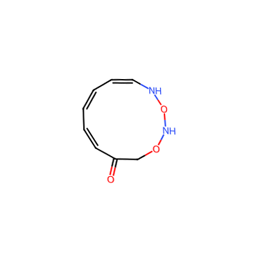 O=C1C=CC=CC=CNONOC1